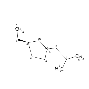 CC[C@@H]1CCN(CC(C)C)C1